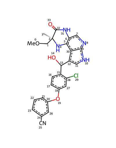 COC[C@]1(C)Nc2c(cnc3[nH]cc(C(O)c4ccc(Oc5cccc(C#N)c5)cc4Cl)c23)NC1=O